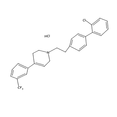 Cl.FC(F)(F)c1cccc(C2=CCN(CCc3ccc(-c4ccccc4Cl)cc3)CC2)c1